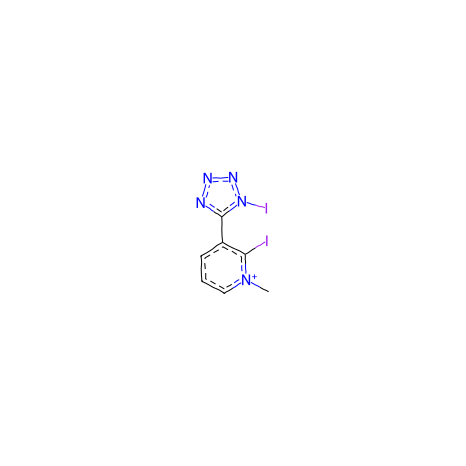 C[n+]1cccc(-c2nnnn2I)c1I